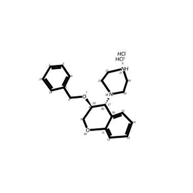 Cl.Cl.c1ccc(CO[C@@H]2COc3ccccc3[C@H]2N2CCNCC2)cc1